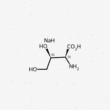 N[C@H](C(=O)O)[C@H](O)CO.[NaH]